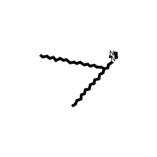 CCCCCCCCCCCCCCCCCCCC(CCCCCCCCCCCCCC)CCCn1ccnc1